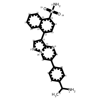 CC(N)c1ccc(-c2cnc3c(-c4ccc(S(N)(=O)=O)c5ccccc45)cnn3c2)cc1